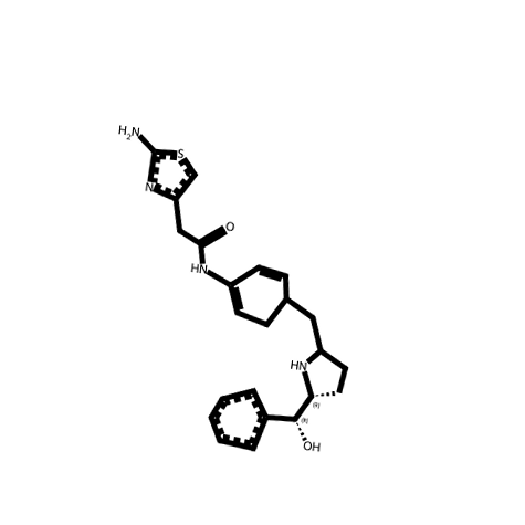 Nc1nc(CC(=O)NC2=CCC(CC3CC[C@H]([C@H](O)c4ccccc4)N3)C=C2)cs1